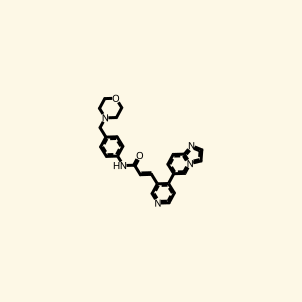 O=C(/C=C/c1cnccc1-c1ccc2nccn2c1)Nc1ccc(CN2CCOCC2)cc1